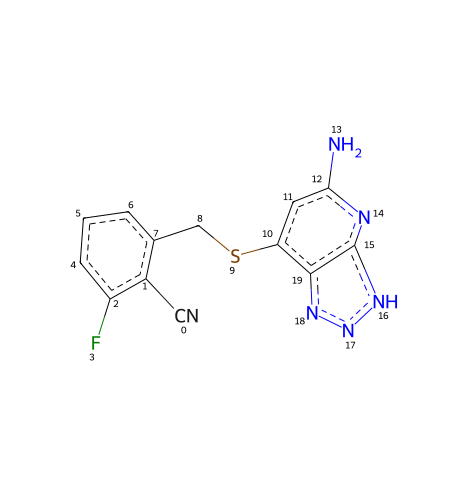 N#Cc1c(F)cccc1CSc1cc(N)nc2[nH]nnc12